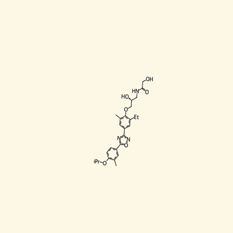 CCc1cc(-c2noc(-c3ccc(OC(C)C)c(C)c3)n2)cc(C)c1OC[C@@H](O)CNC(=O)CO